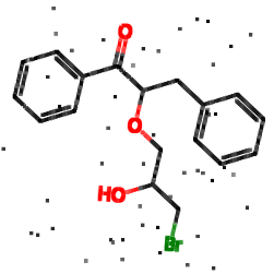 O=C(c1ccccc1)C(Cc1ccccc1)OCC(O)CBr